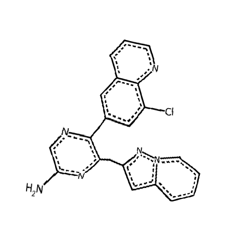 Nc1cnc(-c2cc(Cl)c3ncccc3c2)c(-c2cc3ccccn3n2)n1